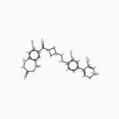 O=C1CNc2cc(C(=O)N3CC(COc4ccc(C5=CCNC=C5Cl)cc4F)C3)c(F)cc2OC1